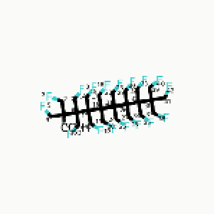 O=C(O)C(CF)(CF)C(CF)(CF)C(CF)(CF)C(CF)(CF)C(CF)(CF)C(CF)(CF)C(CF)(CF)C(CF)(CF)CF